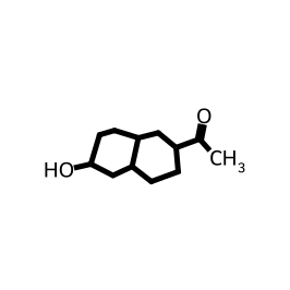 CC(=O)C1CCC2CC(O)CCC2C1